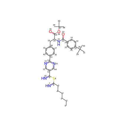 CCCCCCC(=N)SC(=N)c1cnc(-c2ccc(CC(NC(=O)c3ccc(C(C)(C)C)cc3)C(=O)OC(C)(C)C)cc2)nc1